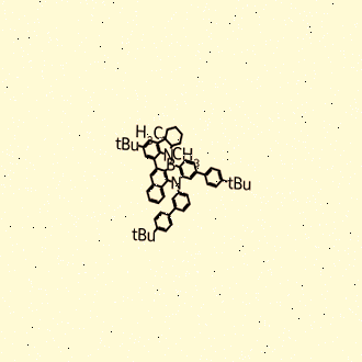 CC(C)(C)c1ccc(-c2cccc(N3c4cc(-c5ccc(C(C)(C)C)cc5)ccc4B4c5c(cc6ccccc6c53)-c3cc(C(C)(C)C)cc5c3N4C3(C)CCCCC53C)c2)cc1